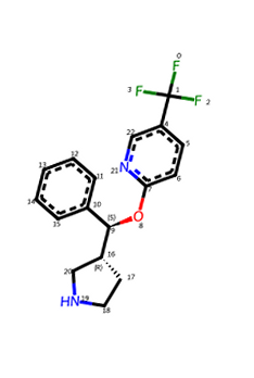 FC(F)(F)c1ccc(O[C@H](c2ccccc2)[C@@H]2CCNC2)nc1